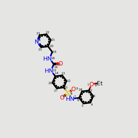 CCOc1cccc(NS(=O)(=O)c2ccc(NC(=O)NCc3cccnc3)cc2)c1